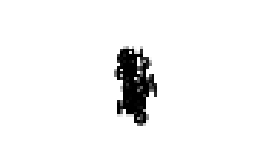 COC(=O)CNC(=O)OC[C@H]1O[C@@H](n2cnc3c(N[C@@H]4CCOC4)ncnc32)[C@H](O)[C@@H]1O